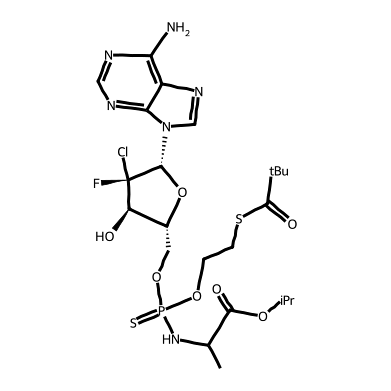 CC(C)OC(=O)C(C)NP(=S)(OCCSC(=O)C(C)(C)C)OC[C@H]1O[C@@H](n2cnc3c(N)ncnc32)[C@@](F)(Cl)[C@@H]1O